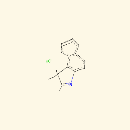 CC1=Nc2ccc3ccccc3c2C1(C)C.Cl